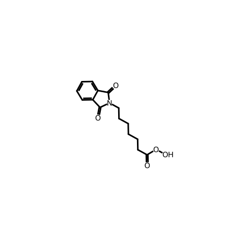 O=C(CCCCCCN1C(=O)c2ccccc2C1=O)OO